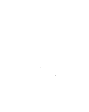 CC(C)(C)P1(=O)COc2cc(O)cc(O)c21